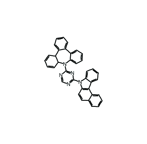 C1=CC2c3ccccc3-c3ccccc3N(c3ncnc(-n4c5ccccc5c5c6ccccc6ccc54)n3)C2C=C1